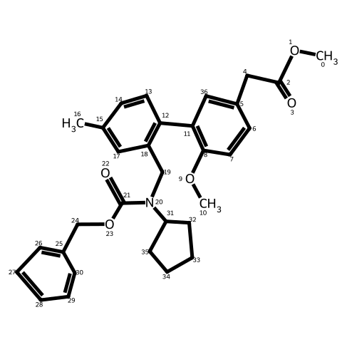 COC(=O)Cc1ccc(OC)c(-c2ccc(C)cc2CN(C(=O)OCc2ccccc2)C2CCCC2)c1